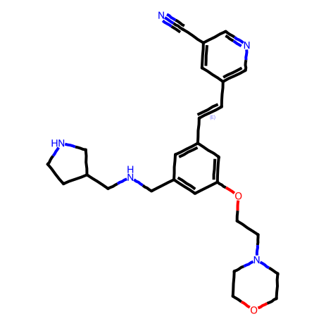 N#Cc1cncc(/C=C/c2cc(CNCC3CCNC3)cc(OCCN3CCOCC3)c2)c1